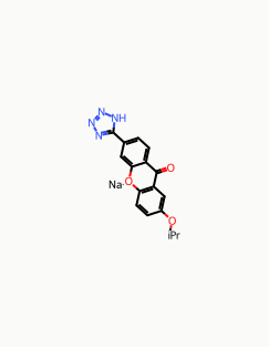 CC(C)Oc1ccc2oc3cc(-c4nnn[nH]4)ccc3c(=O)c2c1.[Na]